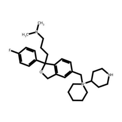 CN(C)CCCC1(c2ccc(F)cc2)OCc2cc(C[N+]3(C4CCNCC4)CCCCC3)ccc21